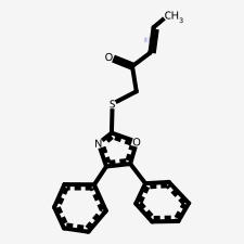 C/C=C/C(=O)CSc1nc(-c2ccccc2)c(-c2ccccc2)o1